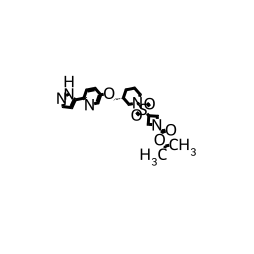 CC(C)OC(=O)N1CC(S(=O)(=O)N2CCC[C@@H](COc3ccc(-c4ccn[nH]4)nc3)C2)C1